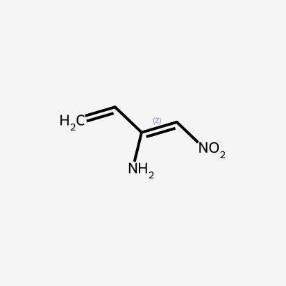 C=C/C(N)=C/[N+](=O)[O-]